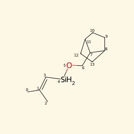 CC(C)=C[SiH2]OCC1C2CCC1CC2